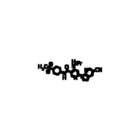 CC(C)Nc1cc(-n2ccc3cc(C#N)cnc32)ncc1C(=O)NC1CCC(S(C)(=O)=O)CC1